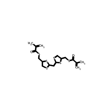 C=C(C)C(=O)SCC1CSC(CC2SCC(CSC(=O)C(=C)C)S2)S1